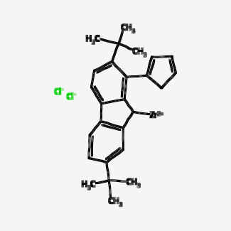 CC(C)(C)c1ccc2c(c1)[CH]([Zr+2])c1c-2ccc(C(C)(C)C)c1C1=CC=CC1.[Cl-].[Cl-]